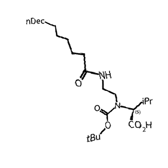 CCCCCCCCCCCCCCCC(=O)NCCN(C(=O)OC(C)(C)C)[C@H](C(=O)O)C(C)C